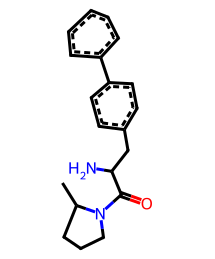 CC1CCCN1C(=O)C(N)Cc1ccc(-c2ccccc2)cc1